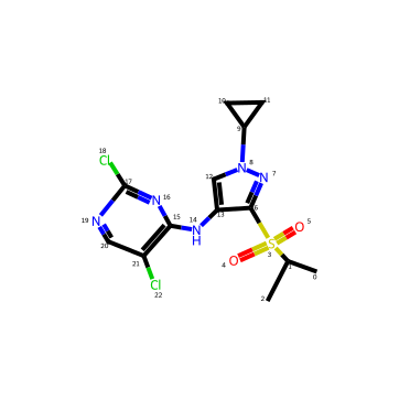 CC(C)S(=O)(=O)c1nn(C2CC2)cc1Nc1nc(Cl)ncc1Cl